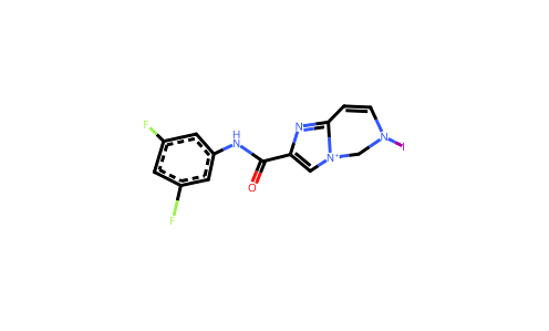 O=C(Nc1cc(F)cc(F)c1)C1=C[N+]2CN(I)C=CC2=N1